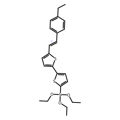 CCO[Si](OCC)(OCC)c1ccc(-c2ccc(/C=C/c3ccc(CC)cc3)s2)s1